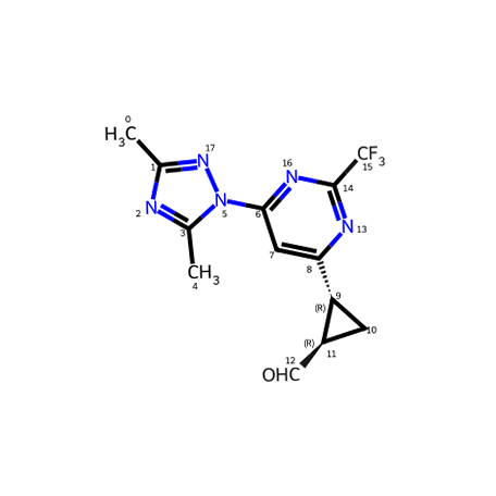 Cc1nc(C)n(-c2cc([C@@H]3C[C@H]3C=O)nc(C(F)(F)F)n2)n1